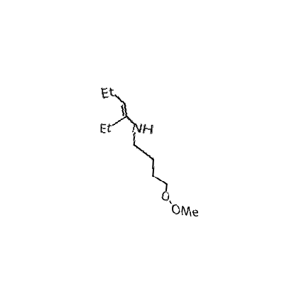 CC/C=C(\CC)NCCCCOOC